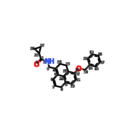 O=C(NCC1=C2C=CCc3ccc(OCc4ccccc4)c(c32)CC1)C1CC1